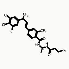 CC(C)CCC(=O)N[C@@H](C)NC(=O)c1ccc(C=CC(c2cc(Cl)c(Cl)c(Cl)c2)C(F)(F)F)cc1C(F)(F)F